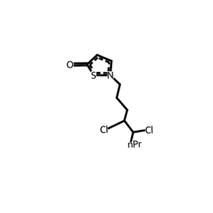 CCCC(Cl)C(Cl)CCCn1ccc(=O)s1